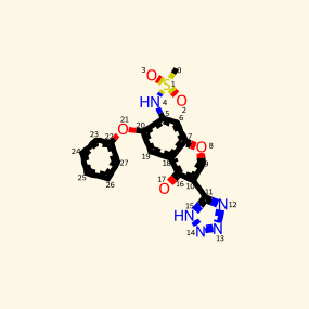 CS(=O)(=O)Nc1cc2occ(-c3nnn[nH]3)c(=O)c2cc1Oc1ccccc1